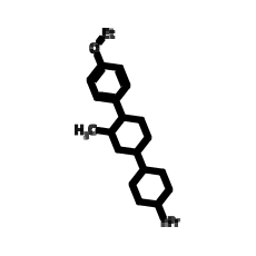 CCCC1CCC(C2CCC(c3ccc(OCC)cc3)C(C)C2)CC1